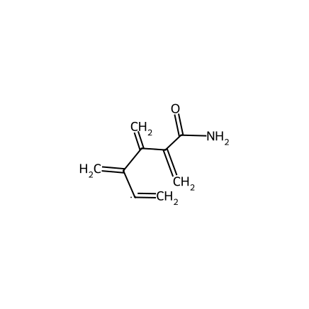 C=[C]C(=C)C(=C)C(=C)C(N)=O